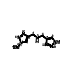 CC(C)(C)n1cc(CNCc2c[nH]nn2)nn1